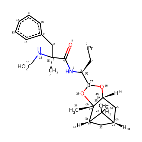 CC(C)C[C@H](NC(=O)[C@](C)(Cc1ccccc1)NC(=O)O)B1O[C@@H]2C[C@@H]3C[C@@H](C3(C)C)[C@]2(C)O1